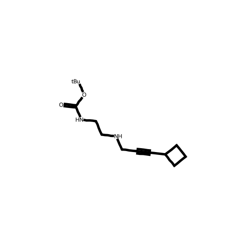 CC(C)(C)OC(=O)NCCNCC#CC1CCC1